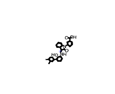 Cc1ccc(-c2cccc(N/C=C3\C(=O)N(c4cccc(C(=O)O)c4)c4ccccc43)c2O)cc1C